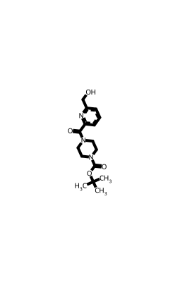 CC(C)(C)OC(=O)N1CCN(C(=O)c2cccc(CO)n2)CC1